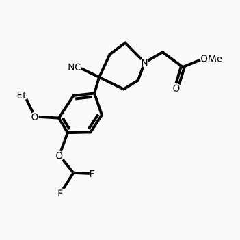 CCOc1cc(C2(C#N)CCN(CC(=O)OC)CC2)ccc1OC(F)F